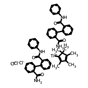 CC1=C(C)C(C)(C)[C]([Ti+3])=C1C.NC(=O)c1ccccc1-c1ccccc1C(=O)Nc1ccccc1.NC(=O)c1ccccc1-c1ccccc1C(=O)Nc1ccccc1.[Cl-].[Cl-].[Cl-]